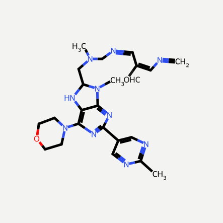 C=N/C=C(C=O)\C=N/CN(C)CC1Nc2c(N3CCOCC3)nc(-c3cnc(C)nc3)nc2N1C